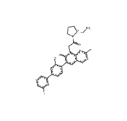 Cc1cncc(-c2ccc(-c3cc4cnc(C)nc4n(CC(=O)N4CCC[C@@H]4CN)c3=O)c(Cl)c2)n1